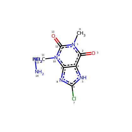 Cn1c(=O)c2[nH]c(Cl)nc2n(C(=O)O)c1=O.NN